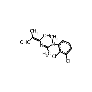 C/C(=N/C(O)=C(/C)C=O)N(C)c1cccc(Cl)c1Cl